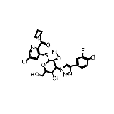 CCOC1C(n2cc(-c3ccc(Cl)c(F)c3)nn2)[C@@H](O)C(CO)O[C@@H]1Sc1cc(Cl)cnc1C(=O)N1CCC1